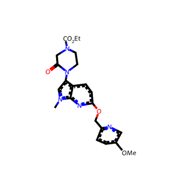 CCOC(=O)N1CCN(c2cn(C)c3nc(OCc4ccc(OC)cn4)ccc23)C(=O)C1